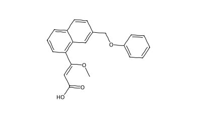 COC(=CC(=O)O)c1cccc2ccc(COc3ccccc3)cc12